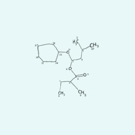 CCC(C)C(=O)OC(CC(C)C)OC1CCCCC1